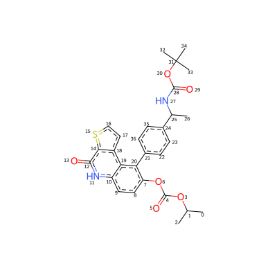 CC(C)OC(=O)Oc1ccc2[nH]c(=O)c3sccc3c2c1-c1ccc(C(C)NC(=O)OC(C)(C)C)cc1